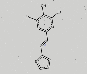 CCc1cc(/C=C/c2cccs2)cc(CC)c1O